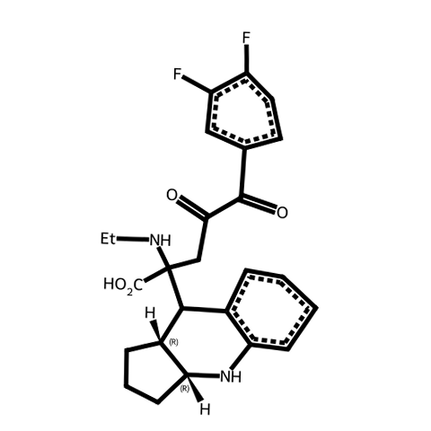 CCNC(CC(=O)C(=O)c1ccc(F)c(F)c1)(C(=O)O)C1c2ccccc2N[C@@H]2CCC[C@H]12